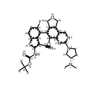 CN(C)[C@H]1CCN(c2ncc3c4c(c(-c5c(F)ccc6sc(NC(=O)OC(C)(C)C)c(C#N)c56)c(Cl)c3n2)COC4)C1